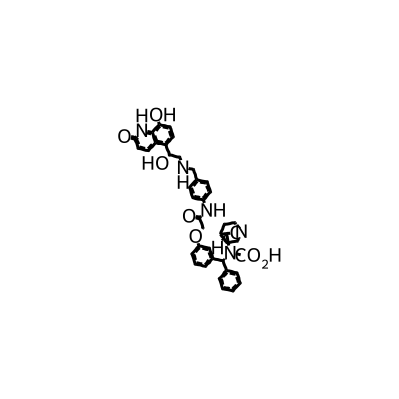 O=C(COc1cccc([C@H](c2ccccc2)N(C(=O)O)[C@H]2CN3CCC2CC3)c1)Nc1ccc(CNC[C@H](O)c2ccc(O)c3[nH]c(=O)ccc23)cc1